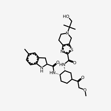 COCC(=O)C1CC[C@H](NC(=O)C2Cc3cc(C)ccc3N2)[C@H](NC(=O)c2nc3c(s2)CN(C(C)(C)CO)CC3)C1